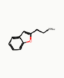 CNCCc1cc2ccccc2o1